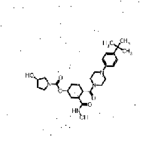 CC(C)(C)c1ccc(N2CCN(C(=O)[C@H]3CC[C@H](OC(=O)N4CC[C@@H](O)C4)CC3C(=O)NO)CC2)cc1